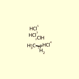 CP.Cl.Cl.Cl.Cl